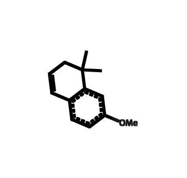 COc1ccc2c(c1)C(C)(C)CC=C2